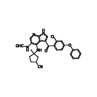 CC1(Nc2c(NC=O)cnc3[nH]cc(C(=O)c4ccc(Oc5ccccc5)cc4Cl)c23)CCC(C#N)C1